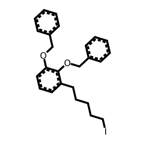 ICCCCCc1cccc(OCc2ccccc2)c1OCc1ccccc1